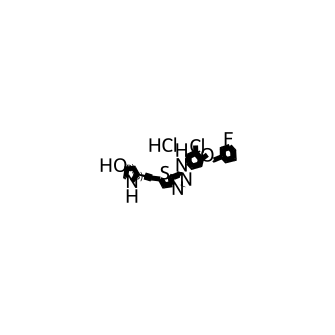 Cl.O[C@H]1CN[C@H](C#Cc2cc3ncnc(Nc4ccc(OCc5cccc(F)c5)c(Cl)c4)c3s2)C1